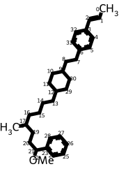 C/C=C/c1ccc(CCC2CCC(CCCCC(C)CCC(OC)c3ccccc3)CC2)cc1